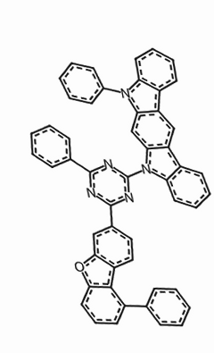 c1ccc(-c2nc(-c3ccc4c(c3)oc3cccc(-c5ccccc5)c34)nc(-n3c4ccccc4c4cc5c6ccccc6n(-c6ccccc6)c5cc43)n2)cc1